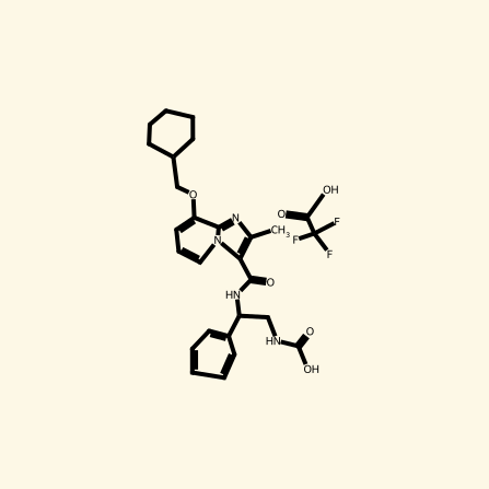 Cc1nc2c(OCC3CCCCC3)cccn2c1C(=O)NC(CNC(=O)O)c1ccccc1.O=C(O)C(F)(F)F